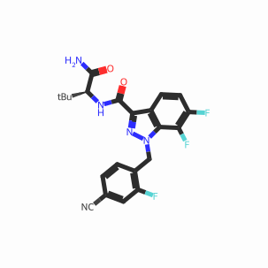 CC(C)(C)[C@H](NC(=O)c1nn(Cc2ccc(C#N)cc2F)c2c(F)c(F)ccc12)C(N)=O